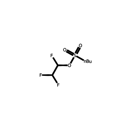 CCCCS(=O)(=O)OC(F)C(F)F